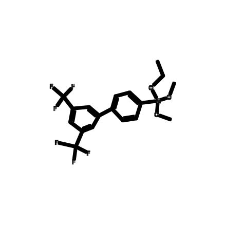 CCO[Si](OC)(OC)c1ccc(-c2cc(C(F)(F)F)cc(C(F)(F)F)c2)cc1